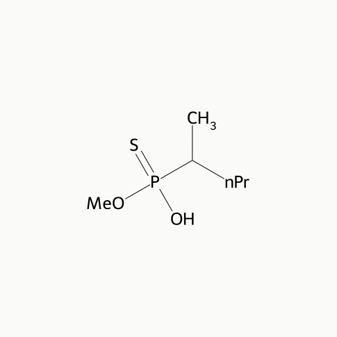 CCCC(C)P(O)(=S)OC